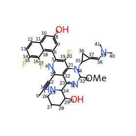 CC#Cc1nc(-c2cc(O)cc3ccc(F)c(F)c23)c(F)c2c1C(C1NCCCC1O)=NC(OC)N2C1CC1=CN(C)C